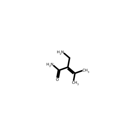 CC(C)=C(CN)C(N)=O